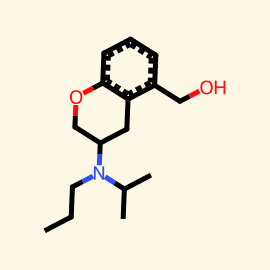 CCCN(C(C)C)C1COc2cccc(CO)c2C1